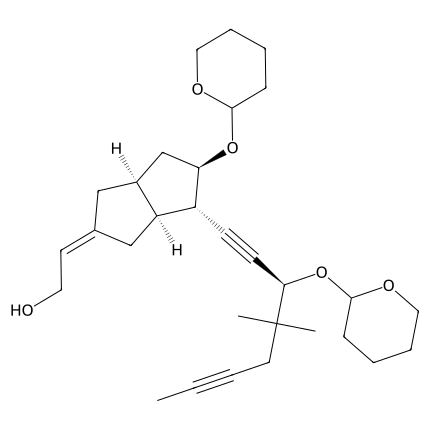 CC#CCC(C)(C)[C@@H](C#C[C@@H]1[C@H]2C/C(=C\CO)C[C@H]2C[C@H]1OC1CCCCO1)OC1CCCCO1